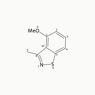 COc1cccc2snc(C)c12